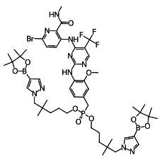 CNC(=O)c1nc(Br)ccc1Nc1nc(Nc2ccc(CP(=O)(OCCCC(C)(C)Cn3cc(B4OC(C)(C)C(C)(C)O4)cn3)OCCCC(C)(C)Cn3cc(B4OC(C)(C)C(C)(C)O4)cn3)cc2OC)ncc1C(F)(F)F